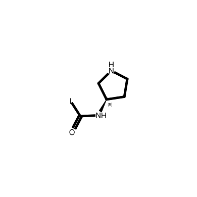 O=C(I)N[C@@H]1CCNC1